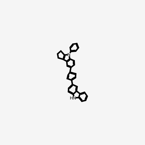 c1ccc(-n2c3c(c4cc(-c5ccc(-c6ccc7[nH]c8ccccc8c7c6)cc5)ccc42)CCC3)cc1